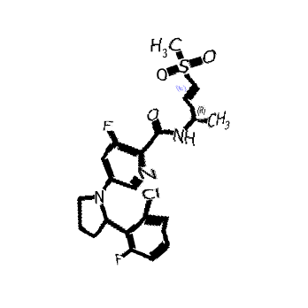 C[C@H](/C=C/S(C)(=O)=O)NC(=O)c1ncc(N2CCCC2c2c(F)cccc2Cl)cc1F